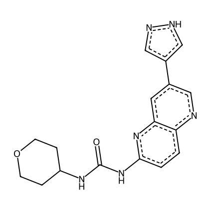 O=C(Nc1ccc2ncc(-c3cn[nH]c3)cc2n1)NC1CCOCC1